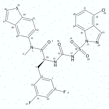 CN(C(=O)[C@H](Cc1cc(F)cc(F)c1)NC(=O)NS(=O)(=O)n1ncc2c(Cl)cccc21)c1ccc2sccc2c1